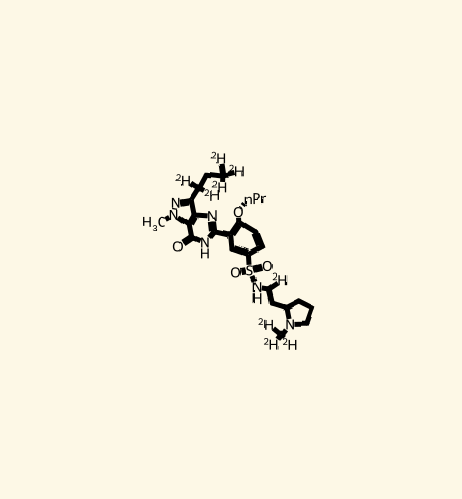 [2H]C(CC1CCCN1C([2H])([2H])[2H])NS(=O)(=O)c1ccc(OCCC)c(-c2nc3c(C([2H])([2H])CC([2H])([2H])[2H])nn(C)c3c(=O)[nH]2)c1